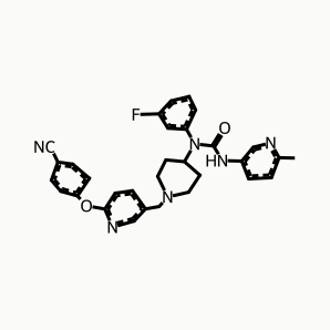 Cc1ccc(NC(=O)N(c2cccc(F)c2)C2CCN(Cc3ccc(Oc4ccc(C#N)cc4)nc3)CC2)cn1